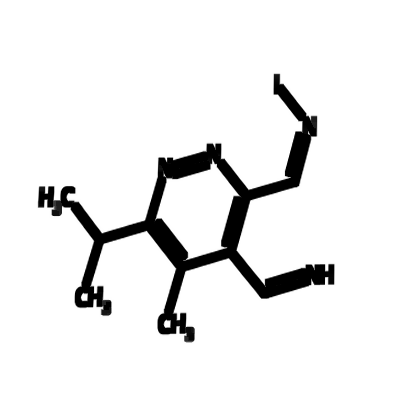 Cc1c(C(C)C)nnc(/C=N\I)c1C=N